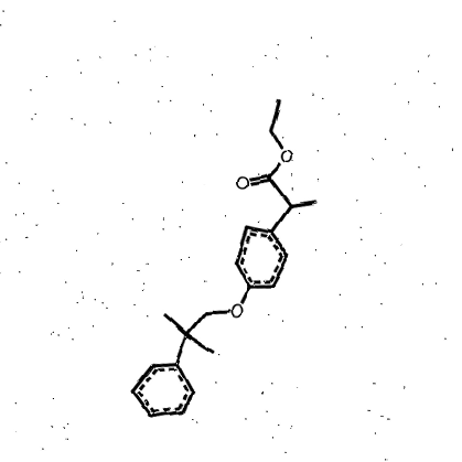 CCOC(=O)C(C)c1ccc(OCC(C)(C)c2ccccc2)cc1